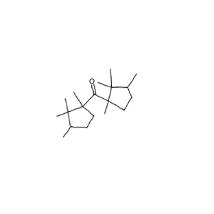 CC1CCC(C)(C(=O)C2(C)CCC(C)C2(C)C)C1(C)C